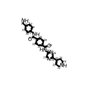 NCc1ccc(NC(=O)c2ccc(C(=O)Nc3cnc(C4=CCNCC4)cn3)cc2)cc1